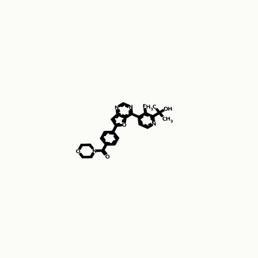 CC(C)(O)c1nccc(-c2ncnc3cc(-c4ccc(C(=O)N5CCOCC5)cc4)oc23)c1F